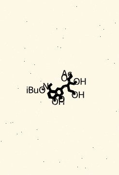 CC(=O)CC(=O)C(CO)C(CCO)CC1CC(=O)c2c(O)ccc(/C(C)=N\OCC(C)C)c2C1